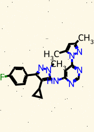 Cc1cc(C)n(-c2cc(Nc3c(C4CC4)c(-c4ccc(F)cc4)nn3C)ncn2)n1